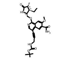 CC[C@@H]1[C@H](F)C(=O)N[C@@H]1COc1ncc(C#CCNC(=O)OC(C)(C)C)c2cc(C(N)=O)c(OC)cc12